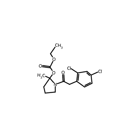 CCOC(=O)OC1(C)CCCN1C(=O)Cc1ccc(Cl)cc1Cl